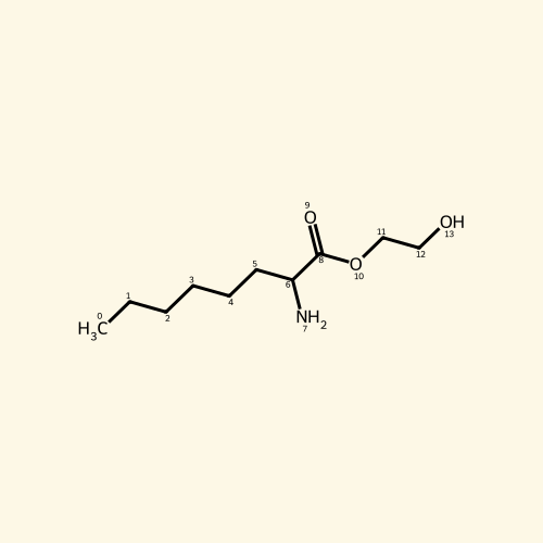 CCCCCCC(N)C(=O)OCCO